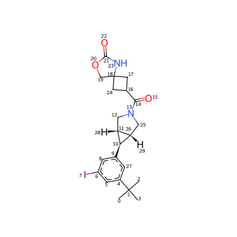 CC(C)(C)c1cc(I)cc([C@H]2[C@@H]3CN(C(=O)C4CC5(COC(=O)N5)C4)C[C@@H]32)c1